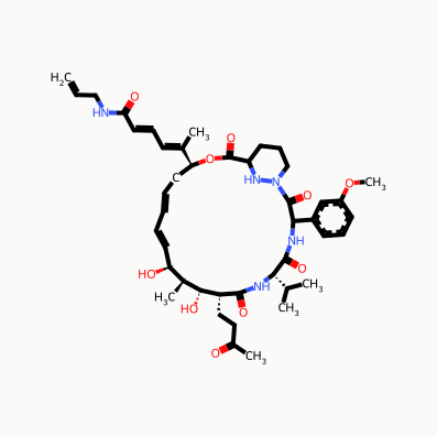 C=CCNC(=O)/C=C/C=C(\C)[C@@H]1C/C=C/C=C/[C@H](O)[C@H](C)[C@@H](O)[C@@H](CCC(C)=O)C(=O)N[C@@H](C(C)C)C(=O)NC(c2cccc(OC)c2)C(=O)N2CCCC(N2)C(=O)O1